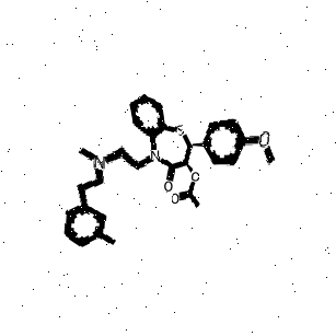 COc1ccc([C@@H]2Sc3ccccc3N(CCN(C)CCc3cccc(C)c3)C(=O)[C@@H]2OC(C)=O)cc1